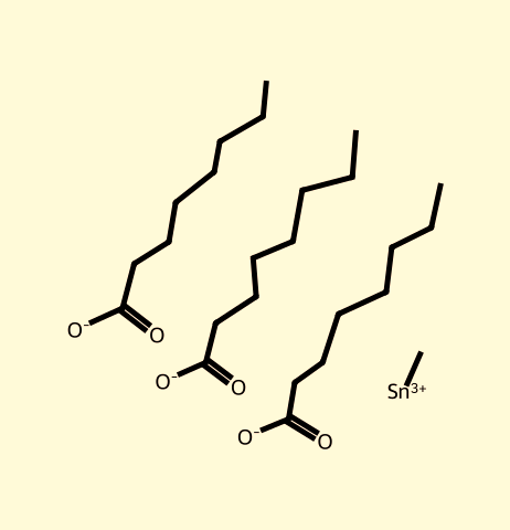 CCCCCCCC(=O)[O-].CCCCCCCC(=O)[O-].CCCCCCCC(=O)[O-].[CH3][Sn+3]